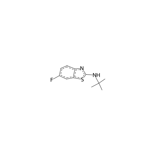 CC(C)(C)Nc1nc2ccc(F)cc2s1